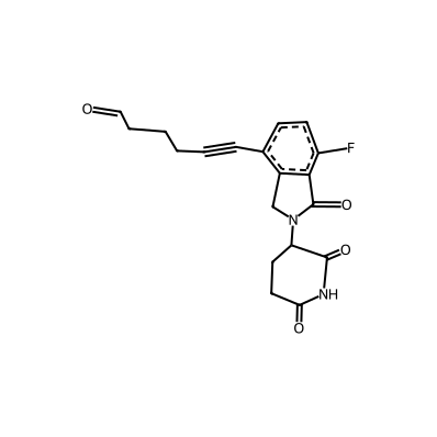 O=CCCCC#Cc1ccc(F)c2c1CN(C1CCC(=O)NC1=O)C2=O